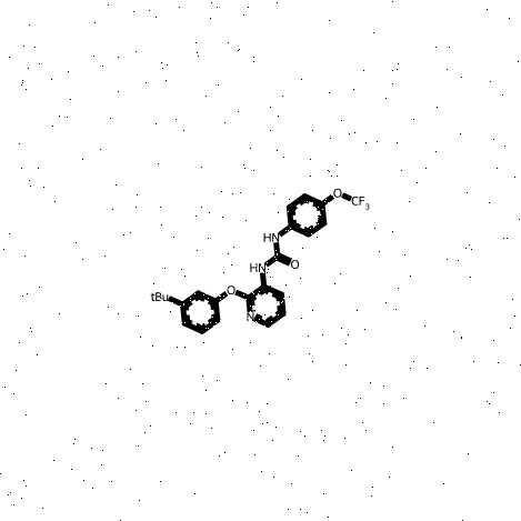 CC(C)(C)c1[c]c(Oc2ncccc2NC(=O)Nc2ccc(OC(F)(F)F)cc2)ccc1